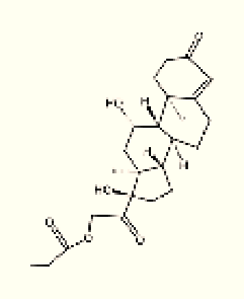 CCC(=O)OCC(=O)[C@@]1(O)CC[C@H]2[C@@H]3CCC4=CC(=O)CC[C@]4(C)[C@H]3[C@@H](O)C[C@@]21C